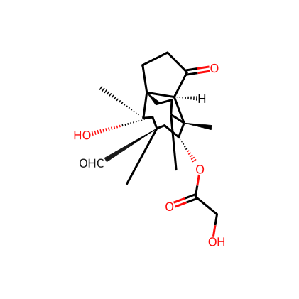 CC1CC[C@@]23CCC(=O)[C@H]2[C@]1(C)[C@H](OC(=O)CO)C[C@@](C)(C=O)[C@@H](O)[C@@H]3C